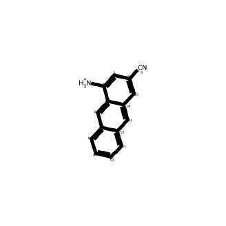 N#Cc1cc(N)c2cc3ccccc3cc2c1